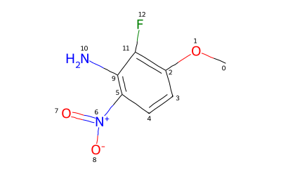 COc1ccc([N+](=O)[O-])c(N)c1F